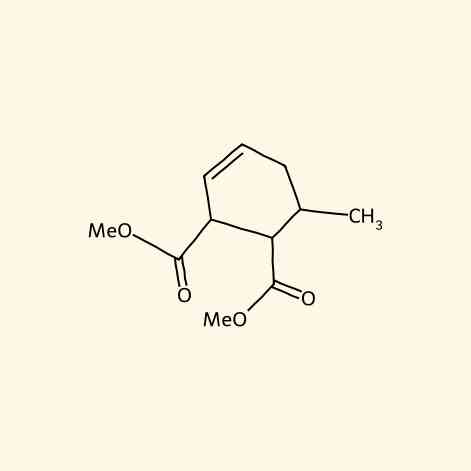 COC(=O)C1C=CCC(C)C1C(=O)OC